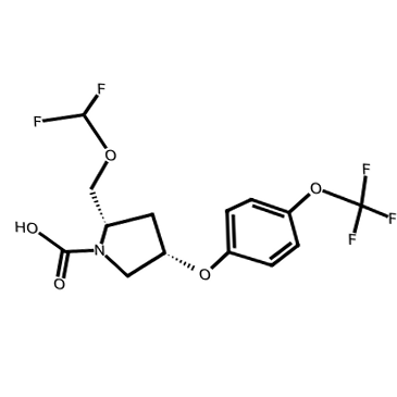 O=C(O)N1C[C@@H](Oc2ccc(OC(F)(F)F)cc2)C[C@H]1COC(F)F